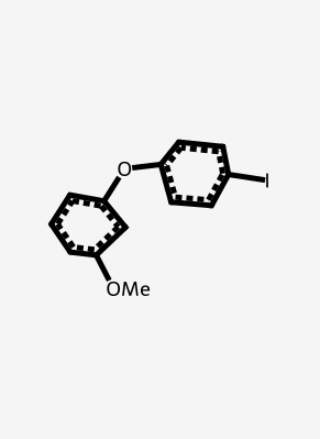 COc1cccc(Oc2ccc(I)cc2)c1